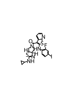 O=C(c1c(Nc2ccc(I)cc2F)sc2ncccc12)N1C[C@@H]2N=C(NC3CC3)S[C@@H]2C1